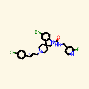 O=C(NCc1ccnc(F)c1)N1CC2(CCN(C/C=C/c3ccc(Cl)cc3)CC2)c2cc(Br)ccc21